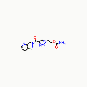 NC(=O)OCCn1cc(C(=O)NCc2ncccc2F)nn1